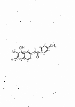 CC(=O)c1c(O)nc2ccc(NC(=O)c3ccc(C)cc3)cc2c1O